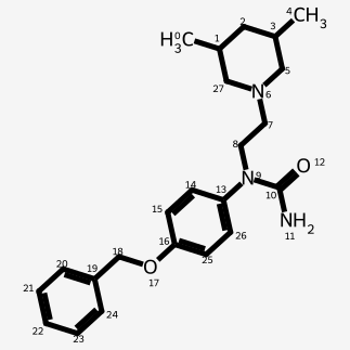 CC1CC(C)CN(CCN(C(N)=O)c2ccc(OCc3ccccc3)cc2)C1